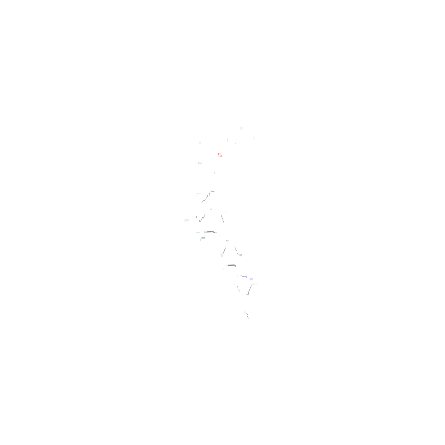 C=CCc1cnc(-c2ccc(-c3ccc(/C=C/CCCC(C)OCCCCC)c(F)c3F)cc2)nc1